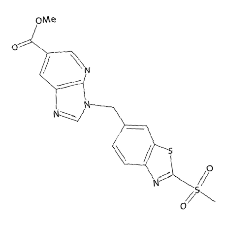 COC(=O)c1cnc2c(c1)ncn2Cc1ccc2nc(S(C)(=O)=O)sc2c1